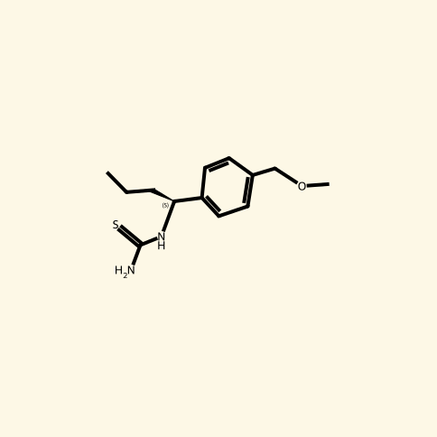 CCC[C@H](NC(N)=S)c1ccc(COC)cc1